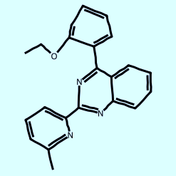 CCOc1ccccc1-c1nc(-c2cccc(C)n2)nc2ccccc12